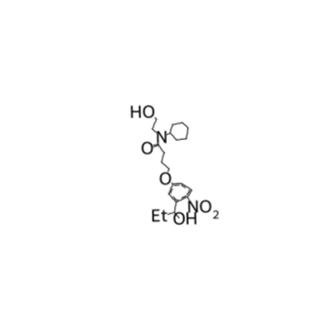 CCC(O)c1cc(OCCCC(=O)N(CCO)C2CCCCC2)ccc1[N+](=O)[O-]